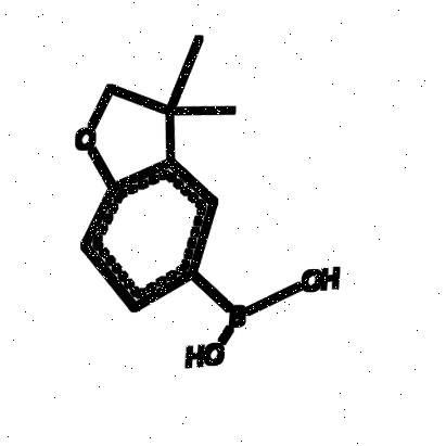 CC1(C)COc2ccc(B(O)O)cc21